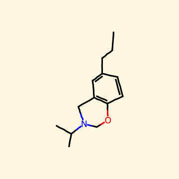 CCCc1ccc2c(c1)CN(C(C)C)CO2